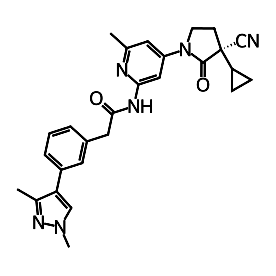 Cc1cc(N2CC[C@@](C#N)(C3CC3)C2=O)cc(NC(=O)Cc2cccc(-c3cn(C)nc3C)c2)n1